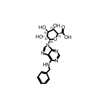 O=C(O)[C@H]1O[C@@H](n2cnc3c(NCc4ccccc4)ncnc32)[C@H](O)[C@@H](O)[C@@H]1O